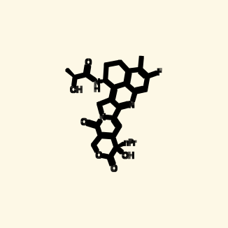 CCC[C@@]1(O)C(=O)OCc2c1cc1n(c2=O)Cc2c-1nc1cc(F)c(C)c3c1c2[C@@H](NC(=O)[C@H](C)O)CC3